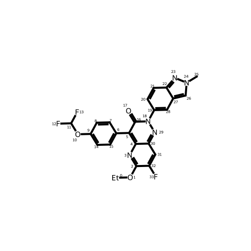 CCOc1nc2c(-c3ccc(OC(F)F)cc3)c(=O)n(-c3ccc4nn(C)cc4c3)nc2cc1F